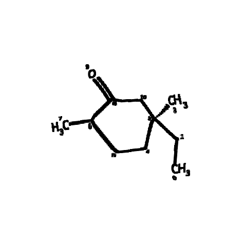 CC[C@@]1(C)CCC(C)C(=O)C1